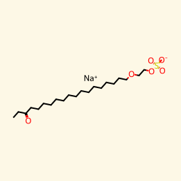 CCC(=O)CCCCCCCCCCCCCCCCOCCOS(=O)(=O)[O-].[Na+]